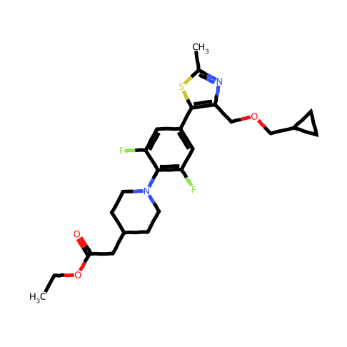 CCOC(=O)CC1CCN(c2c(F)cc(-c3sc(C)nc3COCC3CC3)cc2F)CC1